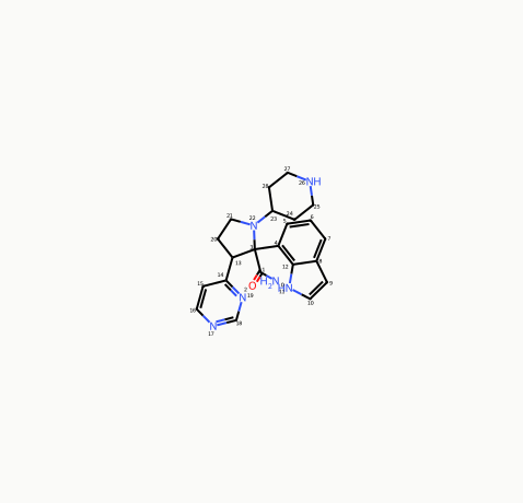 NC(=O)C1(c2cccc3cc[nH]c23)C(c2ccncn2)CCN1C1CCNCC1